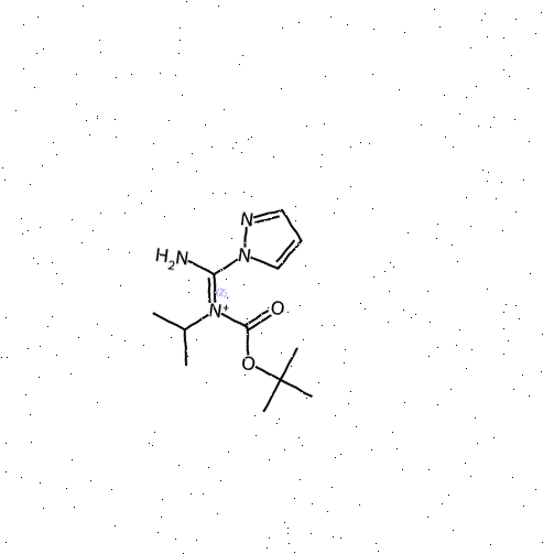 CC(C)/[N+](C(=O)OC(C)(C)C)=C(\N)n1cccn1